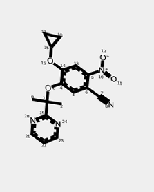 CC(C)(Oc1cc(C#N)c([N+](=O)[O-])cc1OC1CC1)c1ncccn1